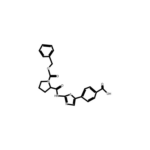 O=C(O)c1ccc(-c2cnc(NC(=O)C3CCCN3C(=O)OCc3ccccc3)s2)cc1